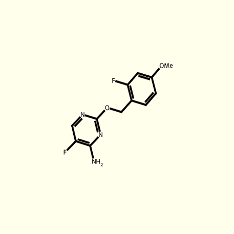 COc1ccc(COc2ncc(F)c(N)n2)c(F)c1